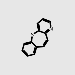 C1=Cc2ncccc2Sc2ccccc21